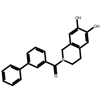 O=C(c1cccc(-c2ccccc2)c1)N1CCc2cc(O)c(O)cc2C1